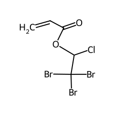 C=CC(=O)OC(Cl)C(Br)(Br)Br